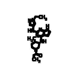 C=CC(=O)N1CC[C@@H](C)[C@@H](Nc2nc(Nc3cnn(CC)c3)nc3[nH]ccc23)C1